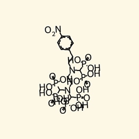 O=[N+]([O-])c1ccc(CCN(CCN(C(P(=O)(O)O)P(=O)(O)O)C(P(=O)(O)O)P(=O)(O)O)C(P(=O)(O)O)P(=O)(O)O)cc1